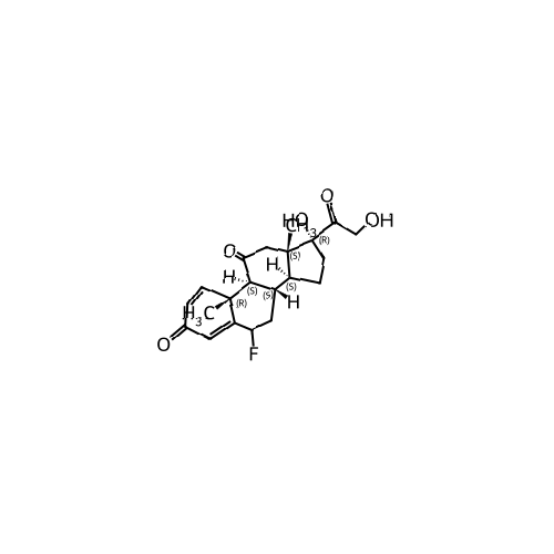 C[C@]12C=CC(=O)C=C1C(F)C[C@@H]1[C@@H]2C(=O)C[C@@]2(C)[C@H]1CC[C@]2(O)C(=O)CO